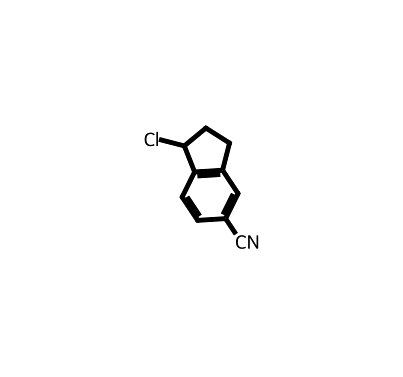 N#Cc1ccc2c(c1)CCC2Cl